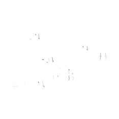 Cc1cc(NC(=O)Oc2nc(C)sc2Nc2cncc(F)c2)ccn1